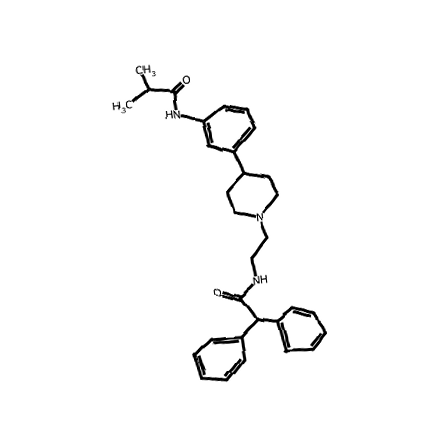 CC(C)C(=O)Nc1cccc(C2CCN(CCNC(=O)C(c3ccccc3)c3ccccc3)CC2)c1